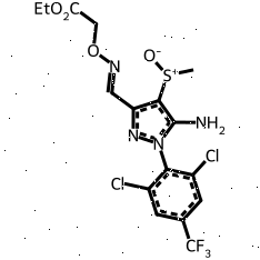 CCOC(=O)CO/N=C/c1nn(-c2c(Cl)cc(C(F)(F)F)cc2Cl)c(N)c1[S+](C)[O-]